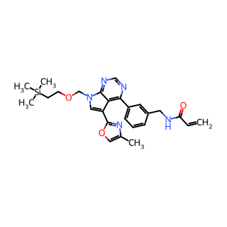 C=CC(=O)NCc1cccc(-c2ncnc3c2c(-c2nc(C)co2)cn3COCC[Si](C)(C)C)c1